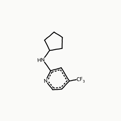 FC(F)(F)c1ccnc(NC2CCCC2)c1